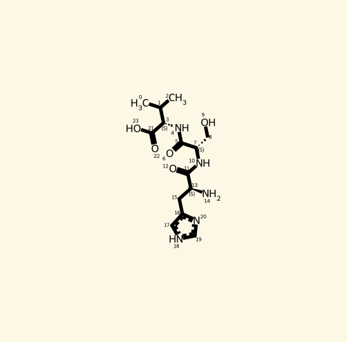 CC(C)[C@H](NC(=O)[C@H](CO)NC(=O)[C@@H](N)Cc1c[nH]cn1)C(=O)O